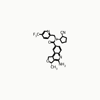 C[C@@H]1OCc2c1c(N)nc1ccc(C(=O)N(Cc3ccc(C(F)(F)F)cn3)[C@@H]3CCC[C@@H]3C#N)cc21